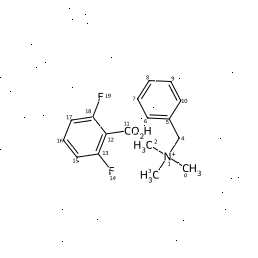 C[N+](C)(C)Cc1ccccc1.O=C(O)c1c(F)cccc1F